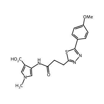 COc1ccc(-c2nnc(CCC(=O)Nc3cn(C)cc3C(=O)O)s2)cc1